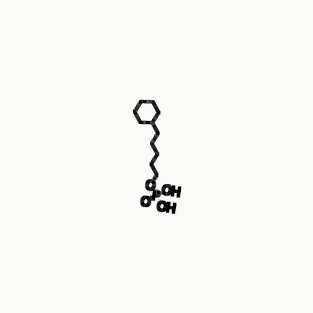 O=P(O)(O)OCCCCCC1CCCCC1